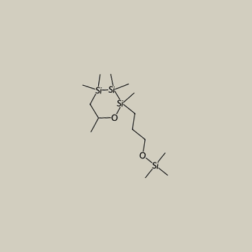 CC1C[Si](C)(C)[Si](C)(C)[Si](C)(CCCO[Si](C)(C)C)O1